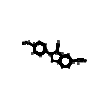 CCCc1ccc(N2Cc3ccc(OC)cc3C2=O)cc1